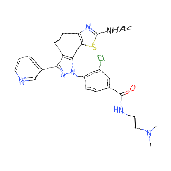 CC(=O)Nc1nc2c(s1)-c1c(c(-c3cccnc3)nn1-c1ccc(C(=O)NCCN(C)C)cc1Cl)CC2